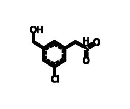 O=[SH](=O)Cc1cc(Cl)cc(CO)c1